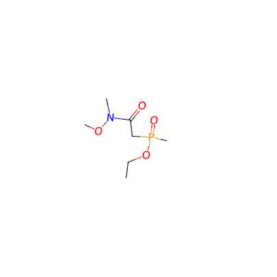 CCOP(C)(=O)CC(=O)N(C)OC